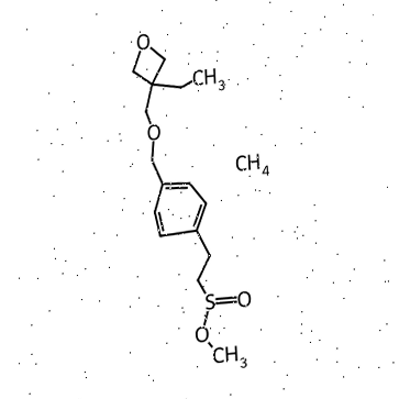 C.CCC1(COCc2ccc(CCS(=O)OC)cc2)COC1